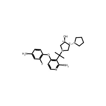 CC(C)(c1c(Oc2ccc(N)cc2F)ccnc1N)N1C[C@@H](O)[C@H](N2CCCC2)C1